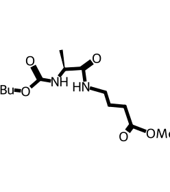 COC(=O)CCCNC(=O)[C@H](C)NC(=O)OC(C)(C)C